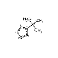 CC(C)(C)c1ccsc1